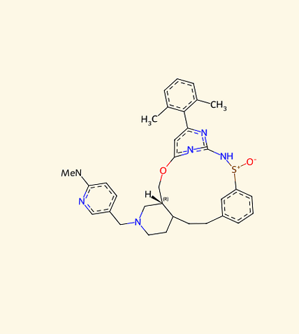 CNc1ccc(CN2CCC3CCc4cccc(c4)[S+]([O-])Nc4nc(cc(-c5c(C)cccc5C)n4)OC[C@H]3C2)cn1